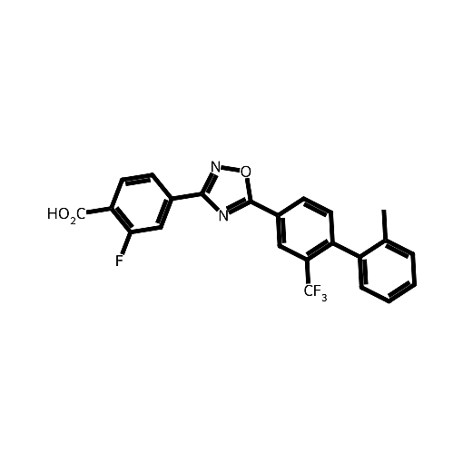 Cc1ccccc1-c1ccc(-c2nc(-c3ccc(C(=O)O)c(F)c3)no2)cc1C(F)(F)F